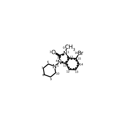 Cn1c(=O)n(N2CCCCC2)c2cccc(Br)c21